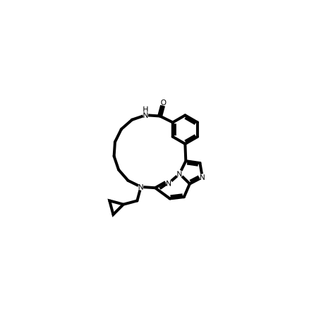 O=C1NCCCCCCN(CC2CC2)c2ccc3ncc(n3n2)-c2cccc1c2